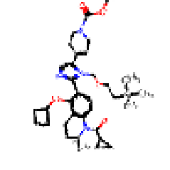 C[C@H]1CCc2c(ccc(-c3ncc(C4=CCN(C(=O)OC(C)(C)C)CC4)n3COCC[Si](C)(C)C)c2OC2CCC2)N1C(=O)C1CC1